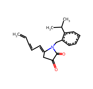 C=C/C=C\C=C1/CC(=O)C(=O)N1Cc1ccccc1C(C)C